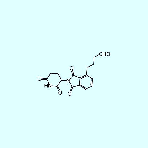 O=CCCCc1cccc2c1C(=O)N(C1CCC(=O)NC1=O)C2=O